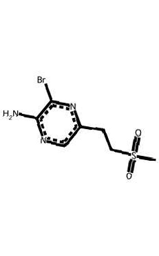 CS(=O)(=O)CCc1cnc(N)c(Br)n1